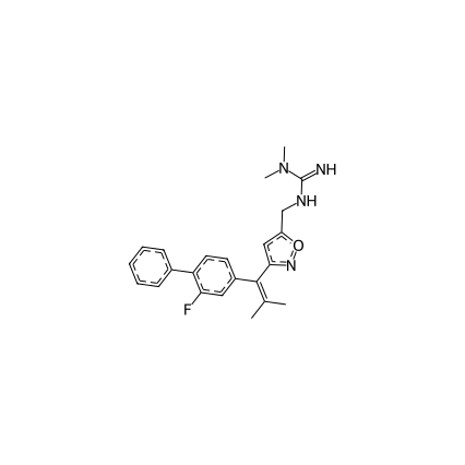 CC(C)=C(c1ccc(-c2ccccc2)c(F)c1)c1cc(CNC(=N)N(C)C)on1